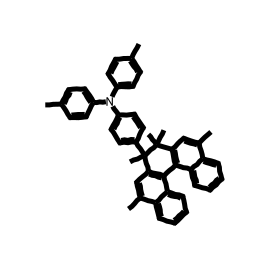 Cc1ccc(N(c2ccc(C)cc2)c2ccc(C3(C)c4cc(C)c5ccccc5c4-c4c(cc(C)c5ccccc45)C3(C)C)cc2)cc1